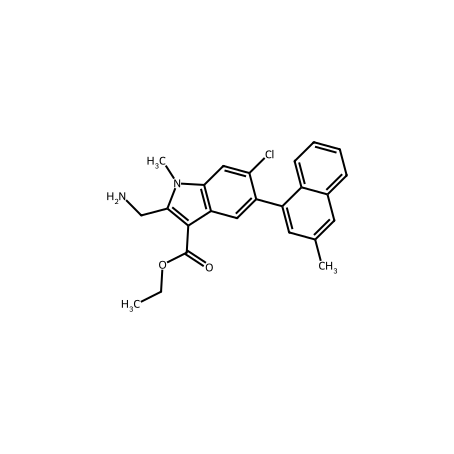 CCOC(=O)c1c(CN)n(C)c2cc(Cl)c(-c3cc(C)cc4ccccc34)cc12